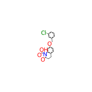 O=C(O)N1C(=O)CCc2ccc(OCc3cccc(Cl)c3)cc21